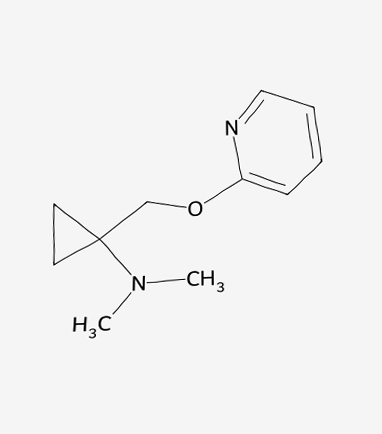 CN(C)C1(COc2ccccn2)CC1